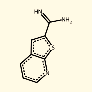 N=C(N)c1cc2cccnc2s1